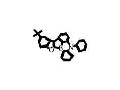 CC(C)(C)c1ccc2oc3c(c2c1)-c1cccc2c1B3c1ccccc1N2c1ccccc1